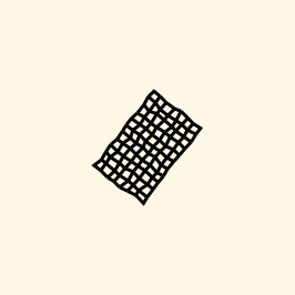 C1C2C3C4C5C6C7CC8C9C%10C%11C%12C%13C%14C%15C%16C%17CC%18C%19C%20C%21C%22C%23CC%24C%25C%26C%27C%28C%29C%30C%31C%32C1C21C32C43C54C65C78C96C%107C%118C%129C%13%10C%14%11C%15%12C%16%13C%18%17C%19%14C%20%15C%21%16C%22%17C%23%24C%25%18C%26%19C%27%20C%28%21C%29%22C%30%23C%31%24C%321C21C32C43C56C74C85C96C%107C%118C%129C%14%13C%15%10C%16%11C%17%18C%19%12C%20%13C%21%14C%22%15C%23%16C%241C21C34C52C%161C%151C%143C%134C%11%12C%109C84C73C621